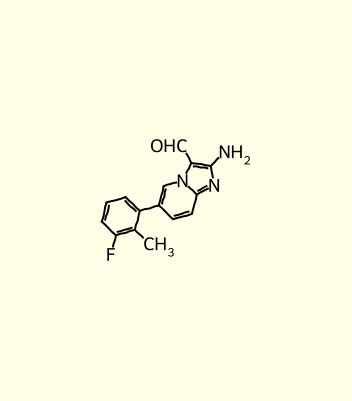 Cc1c(F)cccc1-c1ccc2nc(N)c(C=O)n2c1